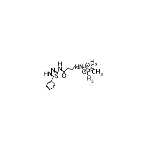 CC(C)(C)S(=O)(=O)NCCCCC(=O)NC1=NNC(c2ccccc2)S1